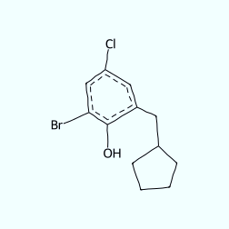 Oc1c(Br)cc(Cl)cc1CC1CCCC1